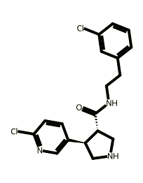 O=C(NCCc1cccc(Cl)c1)[C@@H]1CNC[C@H]1c1ccc(Cl)nc1